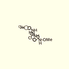 COCCNC(=O)c1ccccc1Nc1nc(Nc2ccc3c(c2)CC[C@@H](N2CCCC2)CC3)ncc1Cl